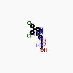 O=C(CC(=O)N1CCC(Nc2ncnc3ccc(C(c4ccc(Cl)cc4)c4ccc(Cl)cc4)cc23)CC1)NCCO